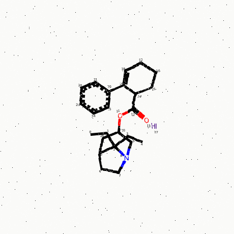 CCC1(CC)C2CCN1CC(OC(=O)C1CCCC=C1c1ccccc1)C2.I